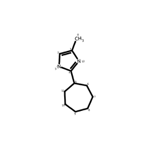 CC1=C[N]C(C2CCCCCC2)=N1